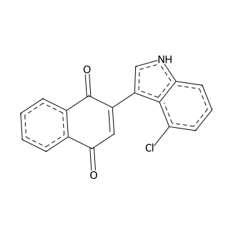 O=C1C=C(c2c[nH]c3cccc(Cl)c23)C(=O)c2ccccc21